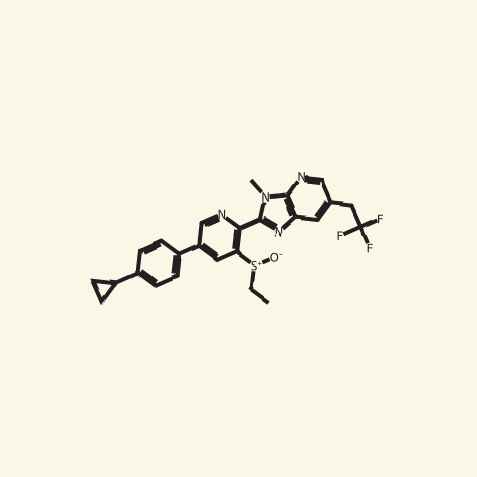 CC[S+]([O-])c1cc(-c2ccc(C3CC3)cc2)cnc1-c1nc2cc(CC(F)(F)F)cnc2n1C